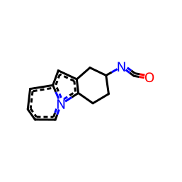 O=C=NC1CCc2c(cc3ccccn23)C1